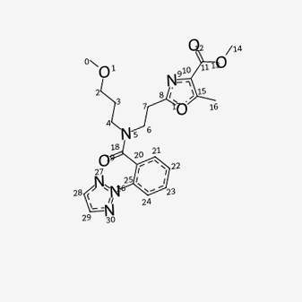 COCCCN(CCc1nc(C(=O)OC)c(C)o1)C(=O)c1ccccc1-n1nccn1